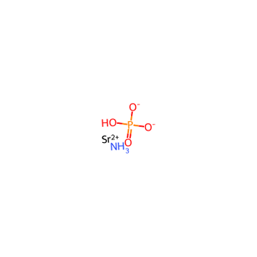 N.O=P([O-])([O-])O.[Sr+2]